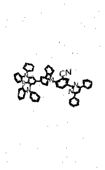 N#Cc1cc(-c2nc(-c3ccccc3)cc(-c3ccccc3)n2)ccc1-n1c2ccccc2c2cc(-c3cc4c5c(c3)N(c3ccccc3)c3ccccc3B5c3ccccc3N4c3ccccc3)ccc21